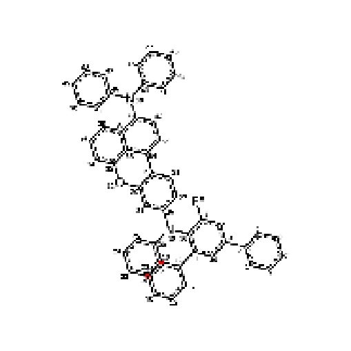 Fc1cc(-c2ccccc2)cc(-c2ccccc2)c1N(c1ccccc1)c1ccc2c(c1)Oc1cccc3c(N(c4ccccc4)c4ccccc4)ccc-2c13